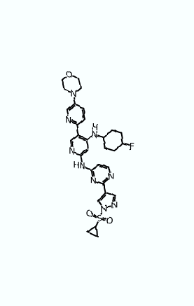 O=S(=O)(C1CC1)n1cc(-c2nccc(Nc3cc(NC4CCC(F)CC4)c(-c4ccc(N5CCOCC5)cn4)cn3)n2)cn1